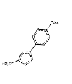 COc1ccc(-c2ccc(C(=O)O)s2)cn1